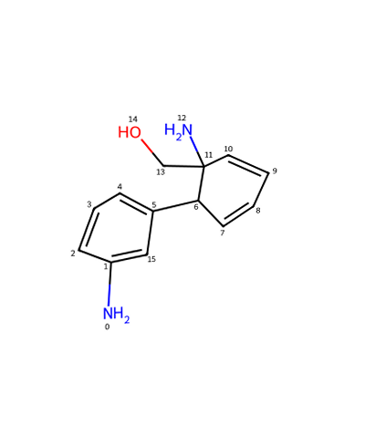 Nc1cccc(C2C=CC=CC2(N)CO)c1